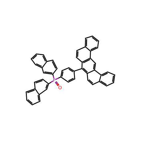 O=P(c1ccc(-c2c3ccc4ccccc4c3cc3c2ccc2ccccc23)cc1)(c1ccc2ccccc2c1)c1ccc2ccccc2c1